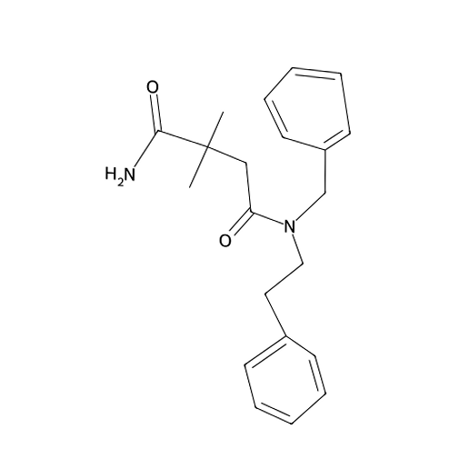 CC(C)(CC(=O)N(CCc1ccccc1)Cc1ccccc1)C(N)=O